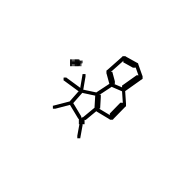 Br.CC1N(C)c2ccc3ccccc3c2C1(C)C